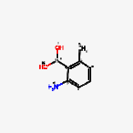 Cc1cccc(N)c1B(O)O